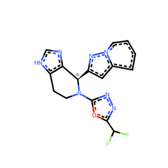 FC(F)c1nnc(N2CCc3[nH]cnc3[C@H]2c2cc3ccccn3n2)o1